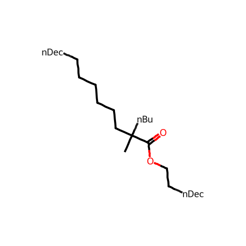 CCCCCCCCCCCCCCCCC(C)(CCCC)C(=O)OCCCCCCCCCCCC